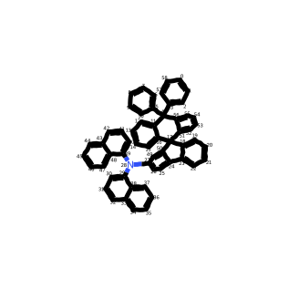 c1ccc(C2(c3ccccc3)c3ccccc3C3(c4ccccc4-c4ccc(N(c5cccc6ccccc56)c5cccc6ccccc56)cc43)c3ccccc32)cc1